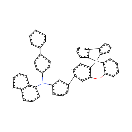 c1ccc(-c2ccc(N(c3cccc(-c4ccc5c(c4)Oc4ccccc4[Si]54c5ccccc5-c5ccccc54)c3)c3cccc4ccccc34)cc2)cc1